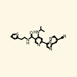 CC(C)Nc1cc(-c2cnc3cc(C#N)cnn23)ncc1C(=O)NCCc1cccs1